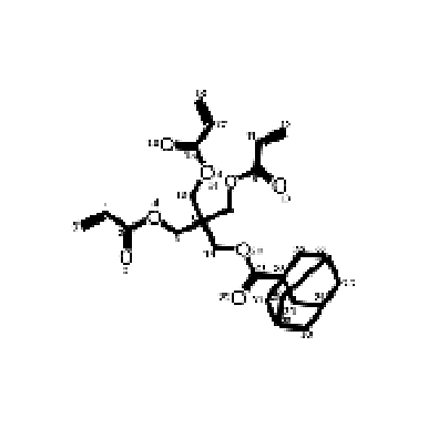 C=CC(=O)OCC(COC(=O)C=C)(COC(=O)C=C)COC(=O)C12CC3CC(CC(C3)C1)C2